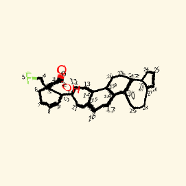 O=C(O)C1(CF)CCC=CC1C1CCC2C(CCC3C2CCC2C4CC=CC4CCC23)C1